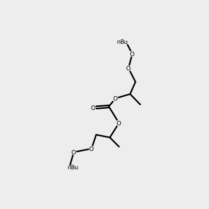 CCCCOOCC(C)OC(=O)OC(C)COOCCCC